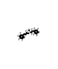 O=C(/C=C/c1c(F)c(F)c(F)c(F)c1F)C[S+]([O-])/C(F)=C(\F)c1c(F)c(F)c(F)c(F)c1F